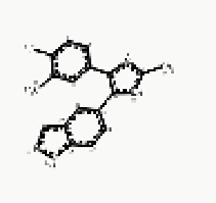 Cc1nc(-c2ccc(F)c(C)c2)c(-c2ccc3[nH]ncc3c2)[nH]1